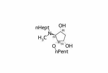 CCCCCCCN(C)[C@@H]1[C@@H](OCCCCC)[C@@H](O)C[C@H]1O